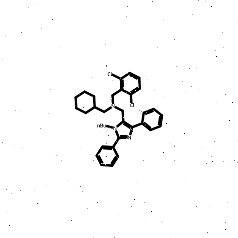 CCCCn1c(-c2ccccc2)nc(-c2ccccc2)c1CN(Cc1c(Cl)cccc1Cl)CC1CCCCC1